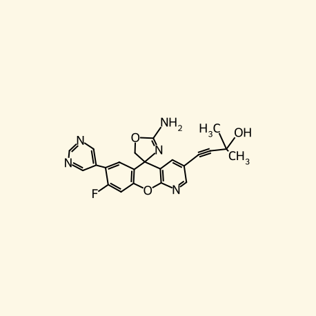 CC(C)(O)C#Cc1cnc2c(c1)C1(COC(N)=N1)c1cc(-c3cncnc3)c(F)cc1O2